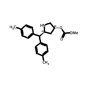 COC(=O)O[C@H]1CN[C@H](C(c2ccc(C)cc2)c2ccc(C)cc2)C1